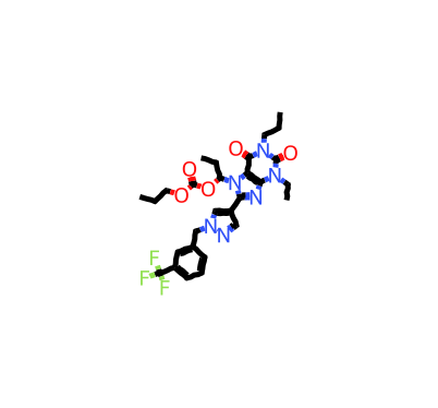 CCCOC(=O)OC(CC)n1c(-c2cnn(Cc3cccc(C(F)(F)F)c3)c2)nc2c1c(=O)n(CCC)c(=O)n2CC